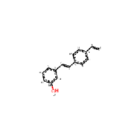 C=Cc1ccc(C=Cc2cccc(O)c2)cc1